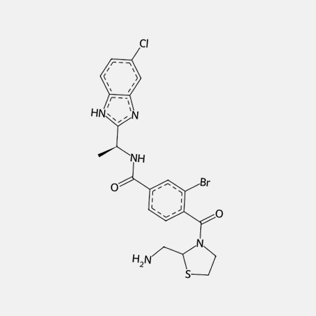 C[C@H](NC(=O)c1ccc(C(=O)N2CCSC2CN)c(Br)c1)c1nc2cc(Cl)ccc2[nH]1